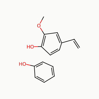 C=Cc1ccc(O)c(OC)c1.Oc1ccccc1